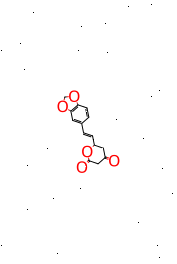 O=C1CC(=O)OC(/C=C/c2ccc3c(c2)OCO3)C1